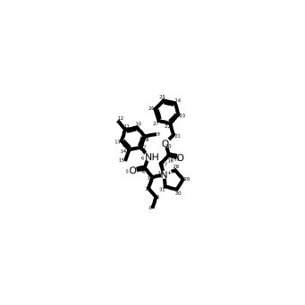 CCCC(C(=O)Nc1c(C)cc(C)cc1C)[N+]1(CC(=O)OCc2ccccc2)CCCC1